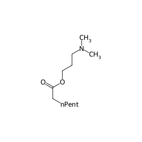 CCCCCCC(=O)OCCCN(C)C